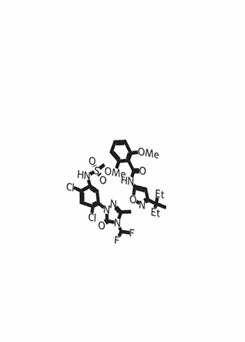 CCC(C)(CC)c1cc(NC(=O)c2c(OC)cccc2OC)on1.Cc1nn(-c2cc(NS(C)(=O)=O)c(Cl)cc2Cl)c(=O)n1C(F)F